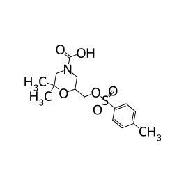 Cc1ccc(S(=O)(=O)OCC2CN(C(=O)O)CC(C)(C)O2)cc1